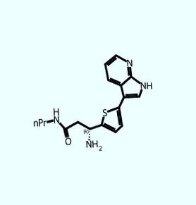 CCCNC(=O)C[C@@H](N)c1ccc(-c2c[nH]c3ncccc23)s1